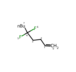 C=CCCC(F)(F)CCCC